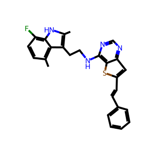 Cc1[nH]c2c(F)ccc(C)c2c1CCNc1ncnc2cc(C=Cc3ccccc3)sc12